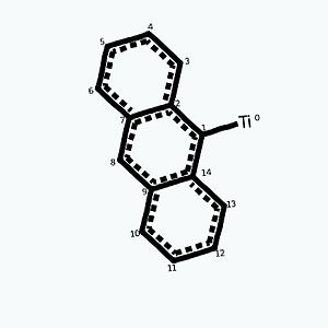 [Ti][c]1c2ccccc2cc2ccccc12